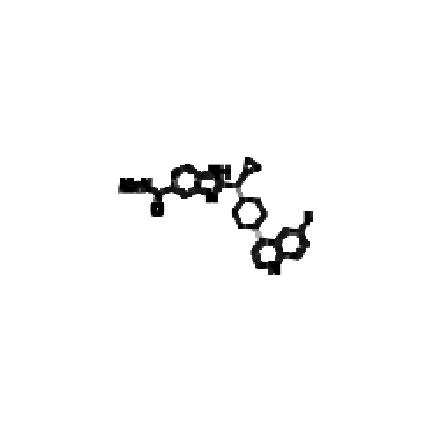 CNC(=O)c1ccc2[nH]c(C(C3CC3)[C@H]3CC[C@@H](c4ccnc5ccc(F)cc54)CC3)nc2c1